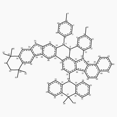 Cc1ccc(N2B3c4cc(C)ccc4-n4c5c3c(cc(N3c6ccccc6C(C)(C)c6ccccc63)c5c3ccc5ccccc5c34)-c3cc4c(cc32)sc2cc3c(cc24)C(C)(C)CCC3(C)C)cc1